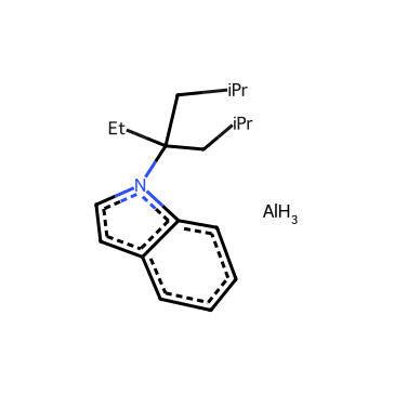 [AlH3].[CH2]CC(CC(C)C)(CC(C)C)n1ccc2ccccc21